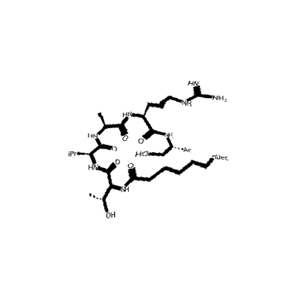 CCCCCCCCCCCCCCCC(=O)NC(C(=O)N[C@H](C(=O)N[C@@H](C)C(=O)N[C@@H](CCCNC(=N)N)C(=O)N[C@@H](CO)C(C)=O)C(C)C)[C@@H](C)O